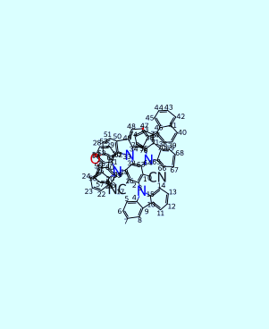 N#Cc1c(-n2c3ccccc3c3ccccc32)c(C#N)c(-n2c3ccccc3c3ccccc32)c(-n2c3cc(-c4cccc5ccccc45)ccc3c3ccc4oc5ccccc5c4c32)c1-n1c2ccccc2c2ccccc21